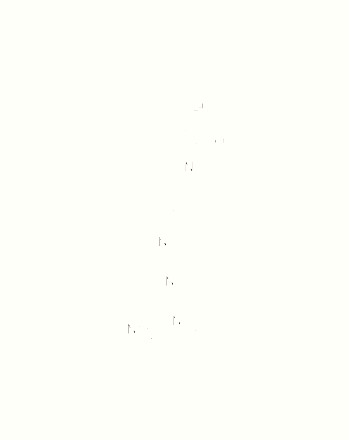 CC(C)(C)OC(=O)N1CCC2(CC1)CN(c1ccc([N+](=O)[O-])c(N)n1)C2